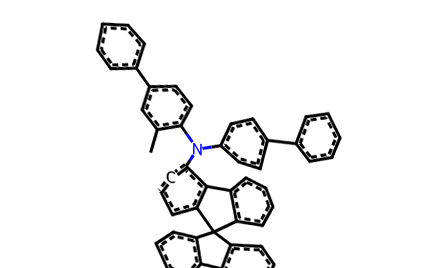 Cc1cc(-c2ccccc2)ccc1N(c1ccc(-c2ccccc2)cc1)c1cccc2c1-c1ccccc1C21c2ccccc2-c2ccccc21